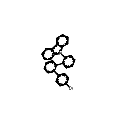 Brc1ccc(-c2ccccc2-c2ccccc2-n2c3ccccc3c3ccccc32)cc1